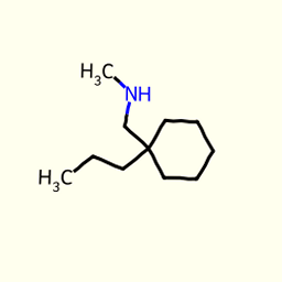 CCCC1(CNC)CCCCC1